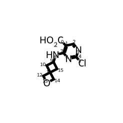 O=C(O)c1cnc(Cl)nc1NC1CC2(COC2)C1